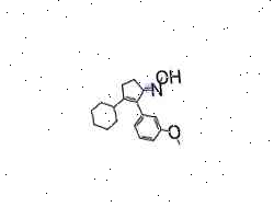 COc1cccc(C2=C(C3CCCCC3)CC/C2=N\O)c1